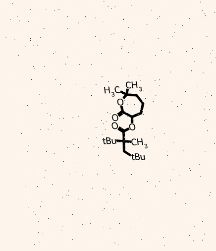 CC(C)(C)CC(C)(C(=O)OC1CCCC(C)(C)OC1=O)C(C)(C)C